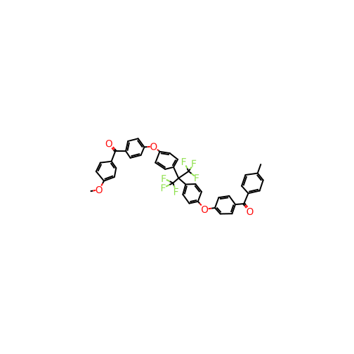 COc1ccc(C(=O)c2ccc(Oc3ccc(C(c4ccc(Oc5ccc(C(=O)c6ccc(C)cc6)cc5)cc4)(C(F)(F)F)C(F)(F)F)cc3)cc2)cc1